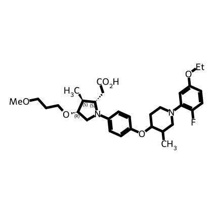 CCOc1ccc(F)c(N2CCC(Oc3ccc(N4C[C@H](OCCCOC)[C@@H](C)[C@@H]4CC(=O)O)cc3)C(C)C2)c1